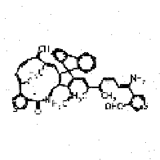 C=CC1=C(/C=C(\C)C(=C)/C=C\C=C(/N)c2cscc2C=O)C2(C3=C1/C=N/C(=O)c1cscc1/C(C)=C/C=C\C(=C)/C(C)=C/3)c1ccccc1-c1ccccc12